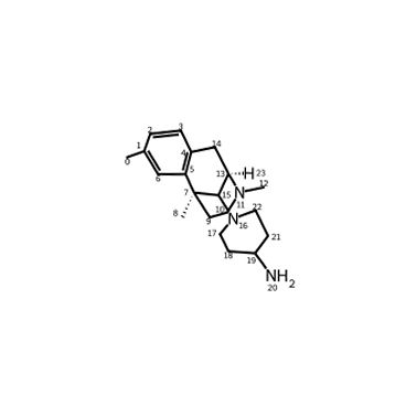 Cc1ccc2c(c1)[C@]1(C)CCN(C)[C@H](C2)C1N1CCC(N)CC1